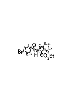 CCOC(=O)c1c(NC(=O)c2ccc(Br)cc2)sc2c1CCCC2